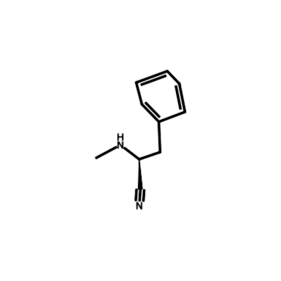 CN[C@H](C#N)Cc1ccccc1